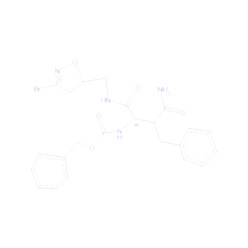 NC(=O)C(Cc1ccccc1)[C@H](NC(=O)OCc1ccccc1)C(=O)NCC1CC(Br)=NO1